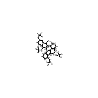 Cc1c2cc(CC(C)(C)C)ccc2c(CC(C)(C)C)c2c1c1c3c(cc[n+]1C)c(CC(C)(C)C)cc1c4c(CC(C)(C)C)cccc4n2c13